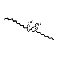 CCCCCCCCCCCC(=O)O[C@H](CCCCCCCCCCC)CC(=O)O.Cl